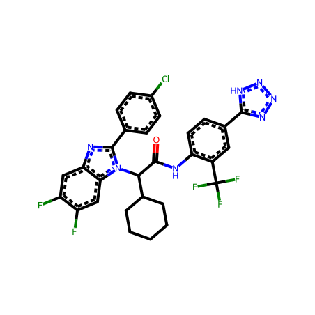 O=C(Nc1ccc(-c2nnn[nH]2)cc1C(F)(F)F)C(C1CCCCC1)n1c(-c2ccc(Cl)cc2)nc2cc(F)c(F)cc21